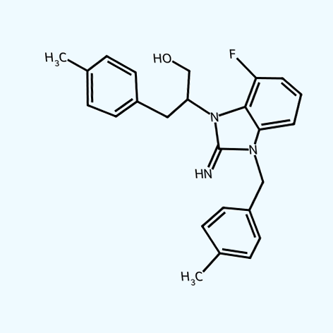 Cc1ccc(CC(CO)n2c(=N)n(Cc3ccc(C)cc3)c3cccc(F)c32)cc1